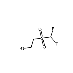 [O]CCS(=O)(=O)C(F)F